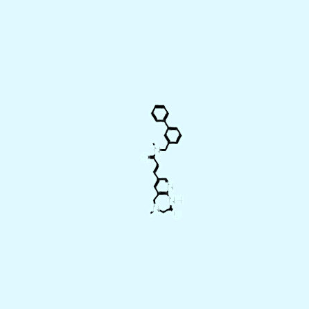 CN1CC(=O)Nc2ncc(/C=C/C(=O)N(C)Cc3cccc(-c4ccccc4)c3)cc2C1